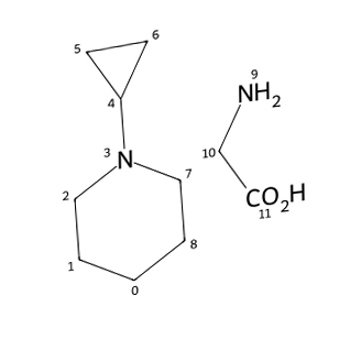 C1CCN(C2CC2)CC1.NCC(=O)O